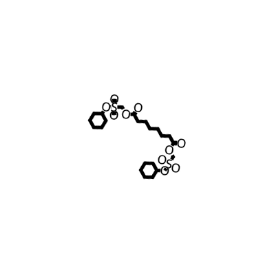 O=C(CCCCCCC(=O)OCS(=O)(=O)OC1CCCCC1)OCS(=O)(=O)OC1CCCCC1